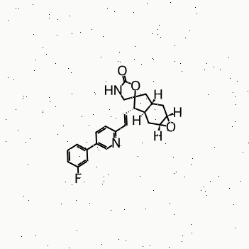 O=C1NCC2(C[C@@H]3C[C@@H]4O[C@@H]4C[C@H]3[C@@H]2/C=C/c2ccc(-c3cccc(F)c3)cn2)O1